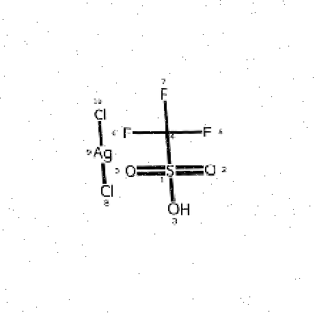 O=S(=O)(O)C(F)(F)F.[Cl][Ag][Cl]